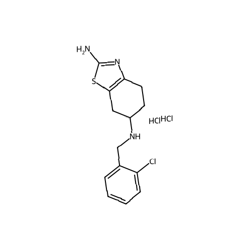 Cl.Cl.Nc1nc2c(s1)CC(NCc1ccccc1Cl)CC2